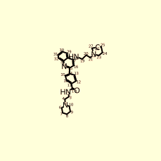 O=C(NCCN1CCCCC1)c1ccc(-c2cc(NCCCN3CCCCC3)c3ccccc3n2)cc1